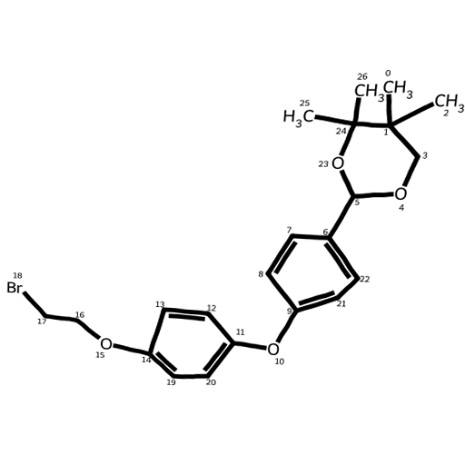 CC1(C)COC(c2ccc(Oc3ccc(OCCBr)cc3)cc2)OC1(C)C